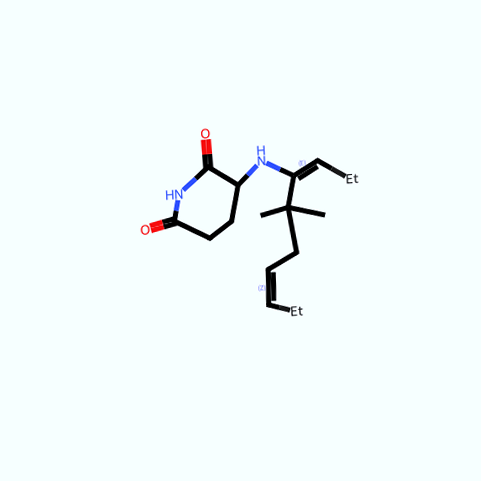 CC/C=C\CC(C)(C)/C(=C\CC)NC1CCC(=O)NC1=O